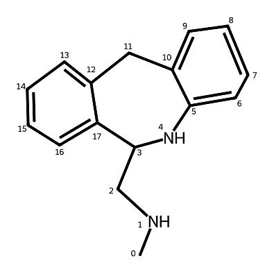 CNCC1Nc2ccccc2Cc2ccccc21